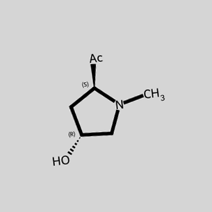 CC(=O)[C@@H]1C[C@@H](O)CN1C